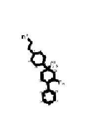 CCC(C)CCC1CCC(C2(C(F)(F)F)C=CC(c3ccccc3)=C(F)C2)CC1